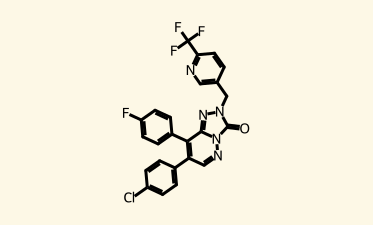 O=c1n(Cc2ccc(C(F)(F)F)nc2)nc2c(-c3ccc(F)cc3)c(-c3ccc(Cl)cc3)cnn12